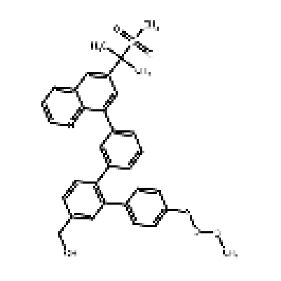 COOSc1ccc(-c2cc(CO)ccc2-c2cccc(-c3cc(C(C)(C)S(C)(=O)=O)cc4cccnc34)c2)cc1